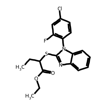 CCOC(=O)C(CC)Sc1nc2ccccc2n1-c1ccc(Cl)cc1F